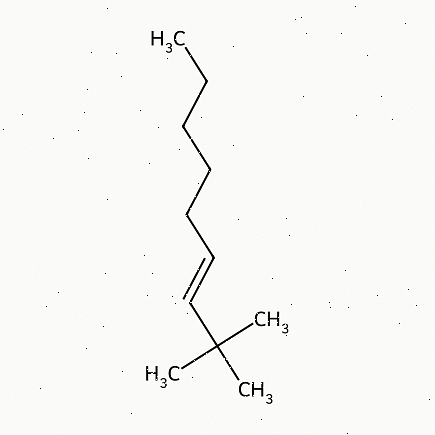 CCCCCC=CC(C)(C)C